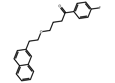 O=C(CCCOCCc1ccc2ccccc2c1)c1ccc(F)cc1